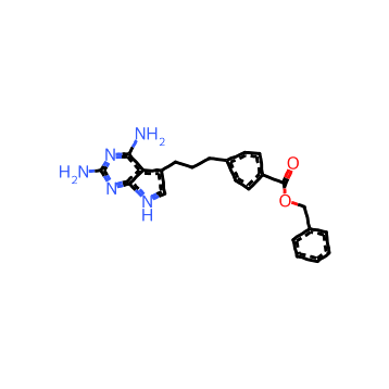 Nc1nc(N)c2c(CCCc3ccc(C(=O)OCc4ccccc4)cc3)c[nH]c2n1